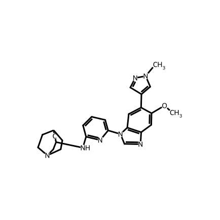 COc1cc2ncn(-c3cccc(NC4CC5CCN(CC5)C4)n3)c2cc1-c1cnn(C)c1